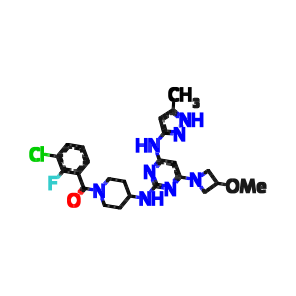 COC1CN(c2cc(Nc3cc(C)[nH]n3)nc(NC3CCN(C(=O)c4cccc(Cl)c4F)CC3)n2)C1